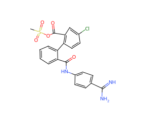 CS(=O)(=O)OC(=O)c1cc(Cl)ccc1-c1ccccc1C(=O)Nc1ccc(C(=N)N)cc1